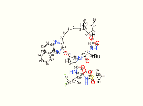 C[C@@H]1[C@H]2CCCCCc3nc4ccc5ccccc5c4nc3O[C@@H]3C[C@@H](C(=O)N[C@]4(C(=O)NS(=O)(=O)C5(C)CC5)CC4C(F)F)N(C3)C(=O)[C@H](C(C)(C)C)NC(=O)O[C@@H]2C[C@@H]1C